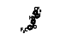 O=C(c1ccc(Nc2ccnc3cc(C(F)(F)F)ccc23)cc1)N1CCC(C(F)(F)F)CC1